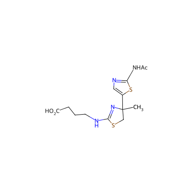 CC(=O)Nc1ncc(C2(C)CSC(NCCCC(=O)O)=N2)s1